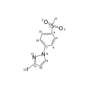 CS(=O)(=O)c1ccc(-n2ccc(I)n2)cc1